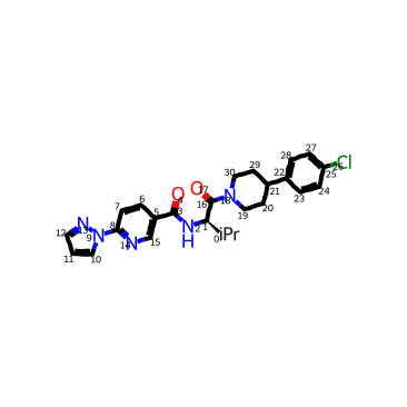 CC(C)[C@@H](NC(=O)c1ccc(-n2cccn2)nc1)C(=O)N1CCC(c2ccc(Cl)cc2)CC1